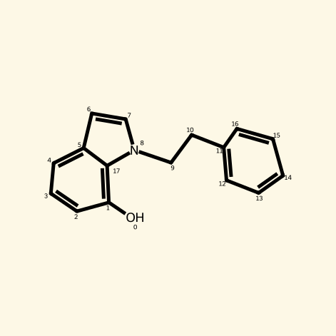 Oc1cccc2ccn(CCc3ccccc3)c12